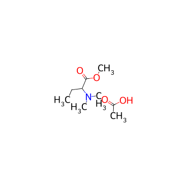 CC(=O)O.CCC(C(=O)OC)N(C)C